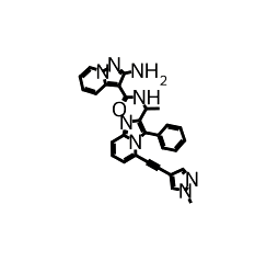 CC(NC(=O)c1c(N)nn2ccccc12)c1nc2cccc(C#Cc3cnn(C)c3)n2c1-c1ccccc1